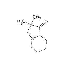 CC1(C)CN2CCCCC2C1=O